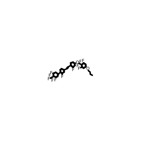 CCCCOc1cc(F)c(C(F)(F)Oc2ccc(C#Cc3ccc(-c4cc(F)c(C(F)(F)F)c(F)c4)c(F)c3)c(F)c2)c(F)c1